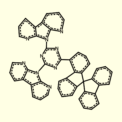 c1ccc2c(c1)-c1ccccc1C21c2ccccc2-c2c(-c3nc(-n4c5ncccc5c5cccnc54)nc(-n4c5ncccc5c5cccnc54)n3)cccc21